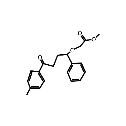 COC(=O)CCC(CCC(=O)c1ccc(C)cc1)c1ccccc1